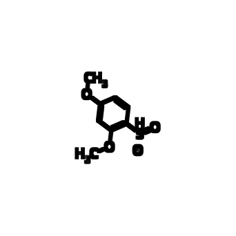 COc1ccc([SH](=O)=O)c(OC)c1